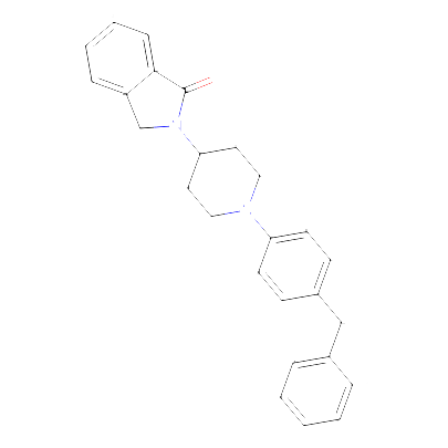 O=C1c2ccccc2CN1C1CCN(c2ccc(Cc3ccccc3)cc2)CC1